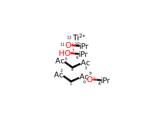 CC(=O)CC(C)=O.CC(=O)CC(C)=O.CC(C)O.CC(C)[O-].CC(C)[O-].[Ti+2]